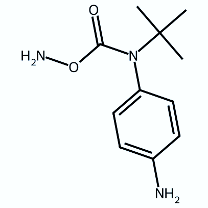 CC(C)(C)N(C(=O)ON)c1ccc(N)cc1